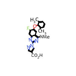 CNc1nc(-n2cc(C(=O)O)cn2)nc2cc(F)c(Oc3c(C)cccc3C)cc12